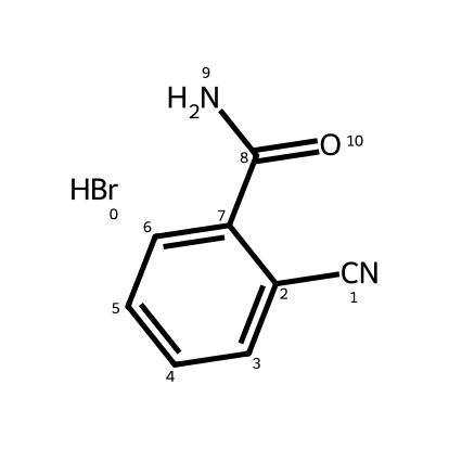 Br.N#Cc1ccccc1C(N)=O